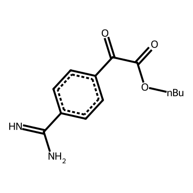 CCCCOC(=O)C(=O)c1ccc(C(=N)N)cc1